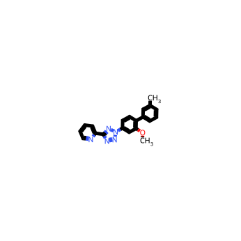 COc1cc(-n2nnc(-c3ccccn3)n2)ccc1-c1cccc(C)c1